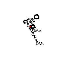 COCCOCCOCCOCCOCN1CCCC1CN1CN(c2ccc(OC)c(F)c2)CN(C2CCCCCC2)C1